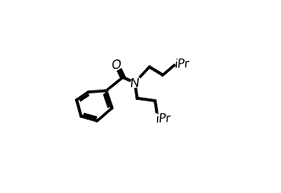 CC(C)CCN(CCC(C)C)C(=O)c1ccccc1